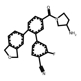 N#Cc1ccc(-c2cc(C(=O)N3CCC(N)C3)ccc2-c2ccc3c(c2)COC3)cc1F